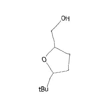 CC(C)(C)C1CCC(CO)O1